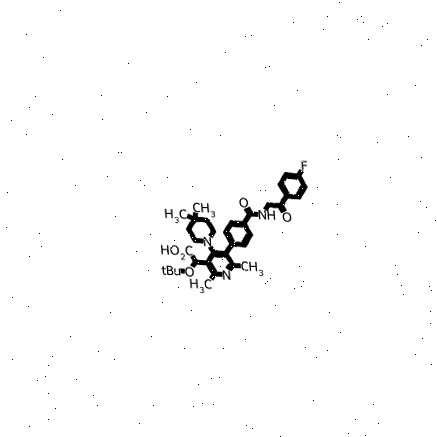 Cc1nc(C)c(C(OC(C)(C)C)C(=O)O)c(N2CCC(C)(C)CC2)c1-c1ccc(C(=O)NCC(=O)c2ccc(F)cc2)cc1